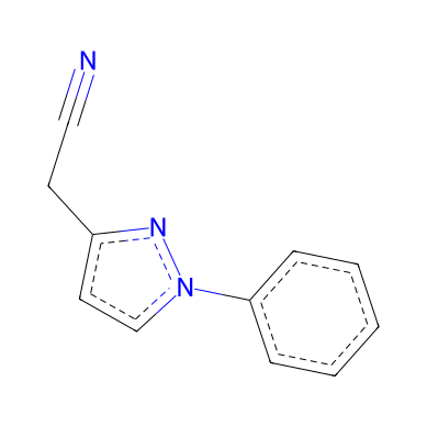 N#CCc1ccn(-c2ccccc2)n1